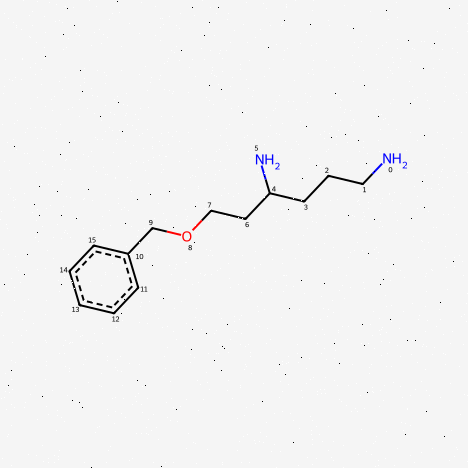 NCCCC(N)CCOCc1ccccc1